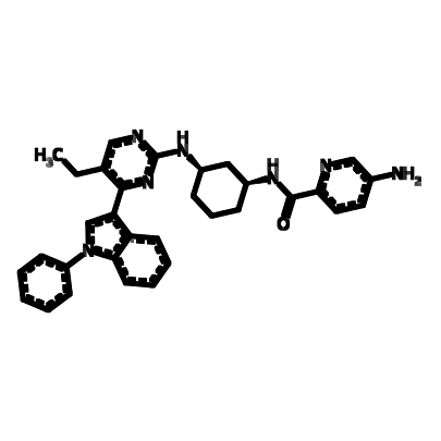 CCc1cnc(N[C@@H]2CCC[C@H](NC(=O)c3ccc(N)cn3)C2)nc1-c1cn(-c2ccccc2)c2ccccc12